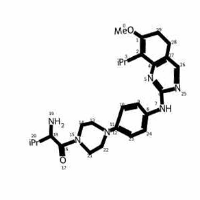 COC1=C(C(C)C)c2nc(Nc3ccc(N4CCN(C(=O)C(N)C(C)C)CC4)cc3)ncc2CC1